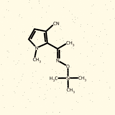 C/C(=N\O[Si](C)(C)C)c1c(C#N)ccn1C